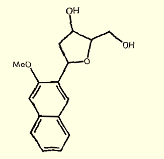 COc1cc2ccccc2cc1C1CC(O)C(CO)O1